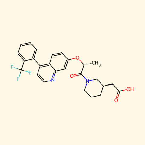 C[C@@H](Oc1ccc2c(-c3ccccc3C(F)(F)F)ccnc2c1)C(=O)N1CCC[C@H](CC(=O)O)C1